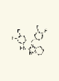 Fc1ccc(Cn2c(Nc3ccc(F)c(F)c3)nc3ccccc32)cc1F